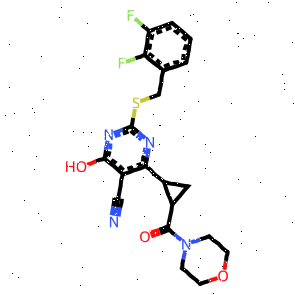 N#Cc1c(O)nc(SCc2cccc(F)c2F)nc1C1CC1C(=O)N1CCOCC1